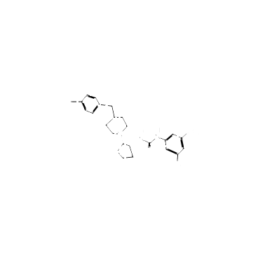 O=C(Nc1cc(C(F)(F)F)cc(C(F)(F)F)c1)N[C@@H]1CCC[C@H]1N1CCC(Cc2ccc(Cl)cc2)CC1